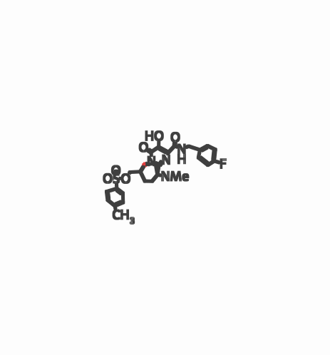 CNC12CCC(COS(=O)(=O)c3ccc(C)cc3)(CC1)Cn1c2nc(C(=O)NCc2ccc(F)cc2)c(O)c1=O